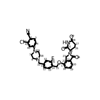 N#Cc1ccc(N2CCN(Cc3ccc(COc4cccc5c4CN([C@H]4CCC(=O)NC4=O)C5=O)c(F)c3)CC2)cc1Cl